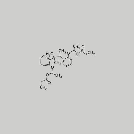 C=CC(=O)OC(C)Oc1ccccc1C(C)C(C)(C)c1ccccc1OC(C)OC(=O)C=C